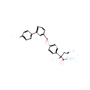 C=CCC(C)(C(N)=O)c1ccc(OCc2cccc(-c3ccc(C(F)(F)F)cc3)c2)cc1